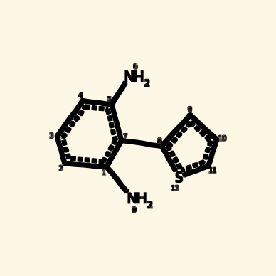 Nc1cccc(N)c1-c1cccs1